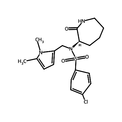 Cc1ccc(CN([C@@H]2CCCCNC2=O)S(=O)(=O)c2ccc(Cl)cc2)n1C